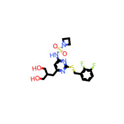 O=S(=O)(Nc1cc(CC(CO)CO)nc(SCc2cccc(F)c2F)n1)N1CCC1